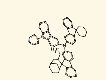 CCC1CC2CCCC(C2)C12c1ccccc1-c1ccc(N(c3ccc4c(c3)-c3ccccc3C43CCCCC3)c3ccc4c(c3)c3ccccc3n4-c3ccccc3)cc12